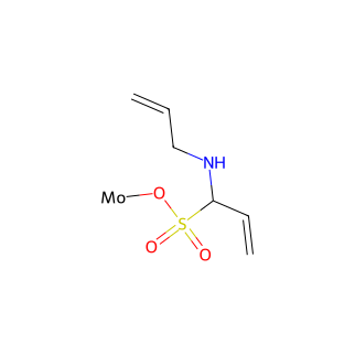 C=CCNC(C=C)S(=O)(=O)[O][Mo]